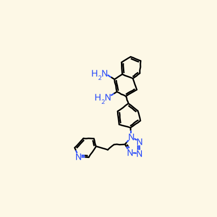 Nc1c(-c2ccc(-n3nnnc3CCc3cccnc3)cc2)cc2ccccc2c1N